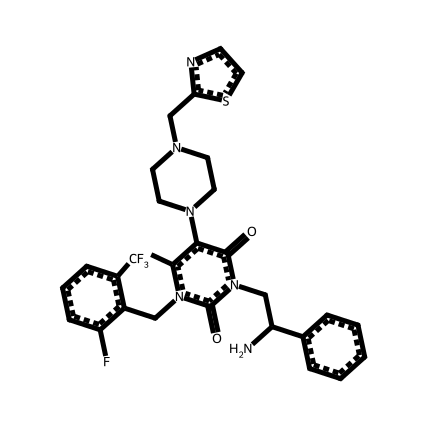 Cc1c(N2CCN(Cc3nccs3)CC2)c(=O)n(CC(N)c2ccccc2)c(=O)n1Cc1c(F)cccc1C(F)(F)F